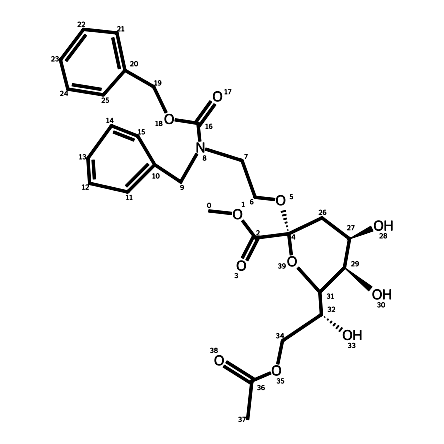 COC(=O)[C@@]1(OCCN(Cc2ccccc2)C(=O)OCc2ccccc2)C[C@@H](O)[C@@H](O)C([C@H](O)COC(C)=O)O1